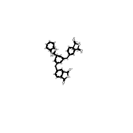 O=C1OC(=O)c2cc(Cc3cc(Cc4ccc5c(c4)C(=O)OC5=O)cc(-c4nc5ccccc5[nH]4)c3)ccc21